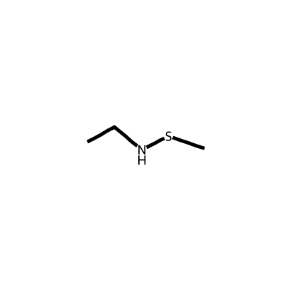 CCNSC